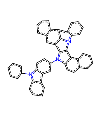 c1ccc(-n2c3ccccc3c3cc(-n4c5ccc6ccccc6c5c5c4c4cc6ccccc6c6c7ccccc7n5c46)ccc32)cc1